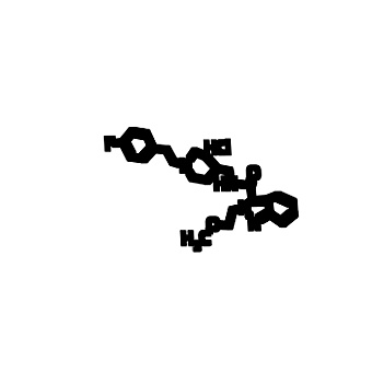 COCCn1nc2ccccc2c1C(=O)NCC1CCN(CCc2ccc(F)cc2)CC1.Cl